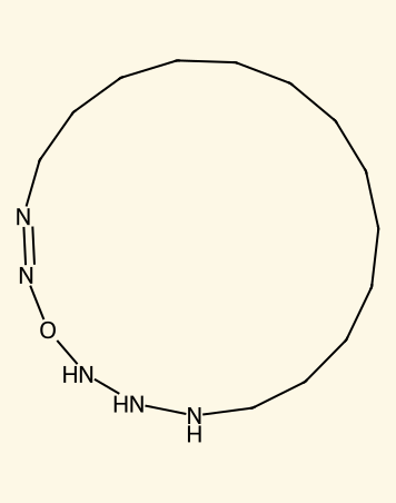 C1CCCCCCN=NONNNCCCCCC1